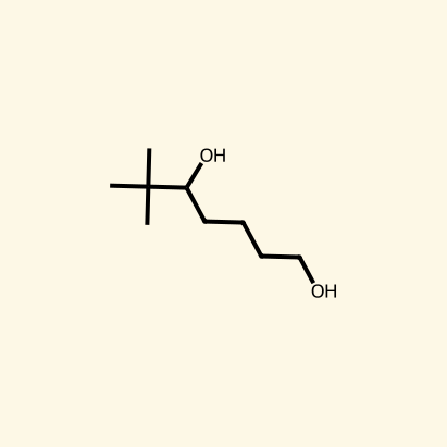 CC(C)(C)C(O)CCCCO